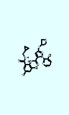 O=C(NCC1CC1)c1cc(Cl)cc(Cl)c1NC(=O)c1cc(OC2CSC2)nn1-c1ncccc1Cl